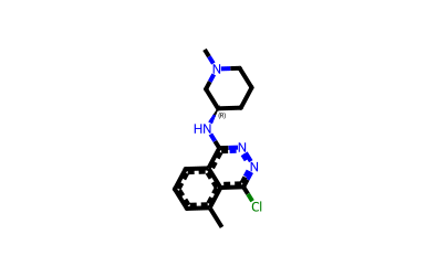 Cc1cccc2c(N[C@@H]3CCCN(C)C3)nnc(Cl)c12